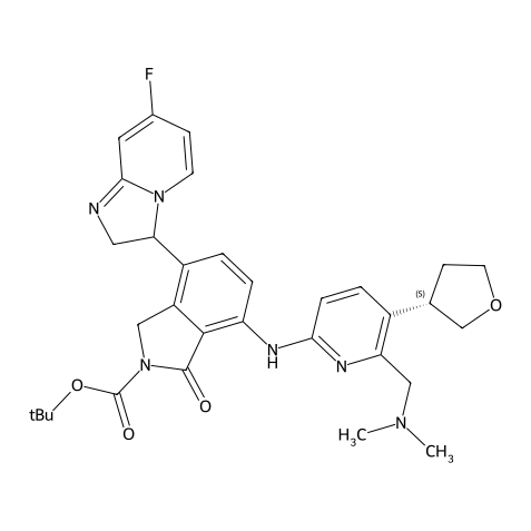 CN(C)Cc1nc(Nc2ccc(C3CN=C4C=C(F)C=CN43)c3c2C(=O)N(C(=O)OC(C)(C)C)C3)ccc1[C@@H]1CCOC1